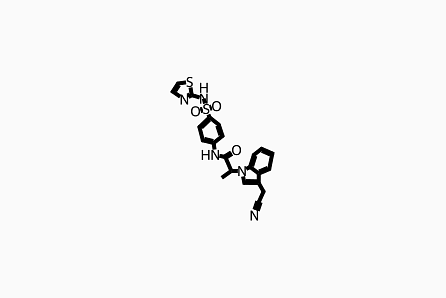 CC(C(=O)Nc1ccc(S(=O)(=O)Nc2nccs2)cc1)n1cc(CC#N)c2ccccc21